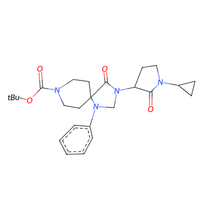 CC(C)(C)OC(=O)N1CCC2(CC1)C(=O)N(C1CCN(C3CC3)C1=O)CN2c1ccccc1